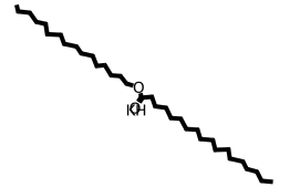 CCCCCCCCCCCCCCCCCC(=O)OCCCCCCCCCCCCCCCC.[KH]